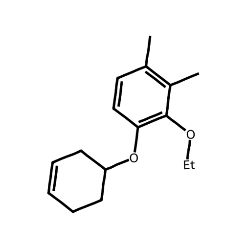 CCOc1c(OC2CC=CCC2)ccc(C)c1C